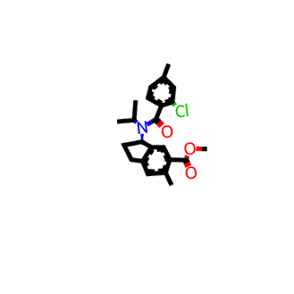 COC(=O)c1cc2c(cc1C)CC[C@H]2N(C(=O)c1ccc(C)cc1Cl)C(C)C